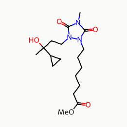 COC(=O)CCCCCCn1c(=O)n(C)c(=O)n1CCC(C)(O)C1CC1